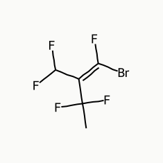 CC(F)(F)/C(=C(/F)Br)C(F)F